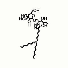 CCCCCCCN(CCCCCCC)CCCCCc1cn([C@@H](COC2OC(CO)CC(O)(CO)C2O)[C@H](O)[C@H](O)CC)nn1